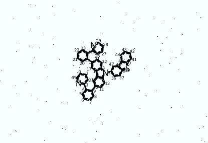 c1ccc(-c2ccccc2-c2ccc3c(c2)c2cc(-c4ccccc4-c4ccccn4)ccc2n3-c2ccc3sc4ccccc4c3c2)nc1